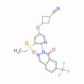 CCS(=O)(=O)c1cc(OC2CC(C#N)C2)cnc1-n1ncc2ccc(C(F)(F)F)cc2c1=O